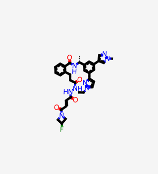 CCn1ccc(-c2cc(-c3cnn(C)c3)cc([C@@H](C)NC(=O)c3ccccc3CCC(=O)NNC(=O)/C=C/C(=O)N3CC(F)C3)c2)n1